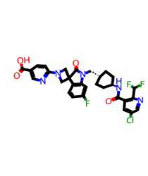 O=C(O)c1ccc(N2CC3(C2)C(=O)N(C[C@H]2CC[C@H](NC(=O)c4cc(Cl)cnc4C(F)F)CC2)c2cc(F)ccc23)nc1